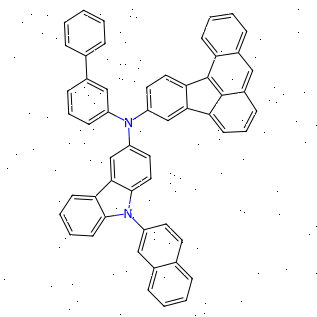 c1ccc(-c2cccc(N(c3ccc4c(c3)-c3cccc5cc6ccccc6c-4c35)c3ccc4c(c3)c3ccccc3n4-c3ccc4ccccc4c3)c2)cc1